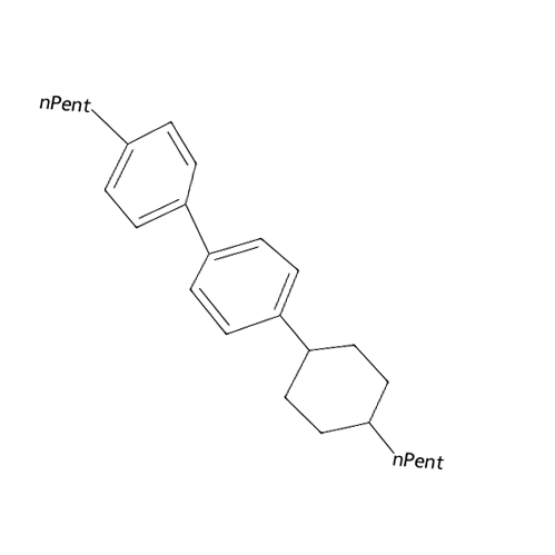 CCCCCc1ccc(-c2ccc(C3CCC(CCCCC)CC3)cc2)cc1